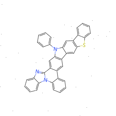 c1ccc(-n2c3cc4c(cc3c3cc5c6ccccc6n6c7ccccc7nc6c5cc32)sc2ccccc24)cc1